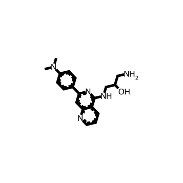 CN(C)c1ccc(-c2cc3ncccc3c(NCC(O)CN)n2)cc1